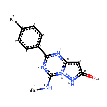 CCCCNc1nc(-c2ccc(C(C)(C)C)cc2)nc2cc(=O)[nH]n12